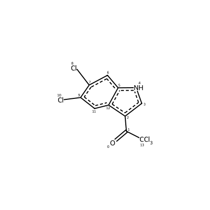 O=C(c1c[nH]c2cc(Cl)c(Cl)cc12)C(Cl)(Cl)Cl